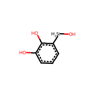 O[SiH2]c1cccc(O)c1O